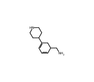 NCC1C=CC=C(C2CCNCC2)C1